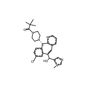 Cn1cncc1C(O)C1=Cc2cccnc2[C@@H](N2CCN(C(=O)C(C)(C)C)CC2)c2ccc(Cl)cc21